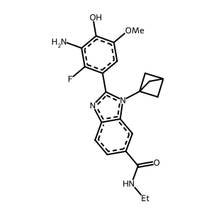 CCNC(=O)c1ccc2nc(-c3cc(OC)c(O)c(N)c3F)n(C34CC(C3)C4)c2c1